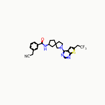 N#CCc1cccc(C(=O)NC2CCC3(CCN(c4ncnc5sc(CC(F)(F)F)cc45)C3)C2)c1